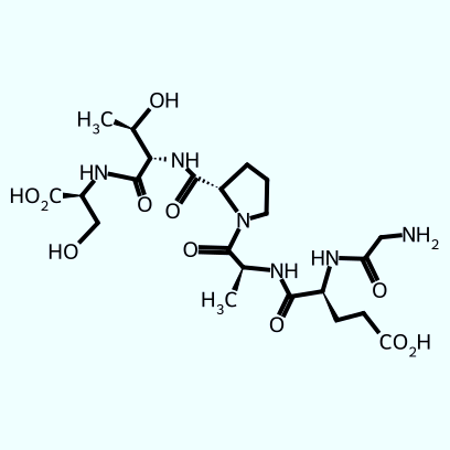 C[C@H](NC(=O)[C@H](CCC(=O)O)NC(=O)CN)C(=O)N1CCC[C@H]1C(=O)N[C@H](C(=O)N[C@@H](CO)C(=O)O)[C@@H](C)O